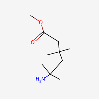 COC(=O)CC(C)(C)CC(C)(C)N